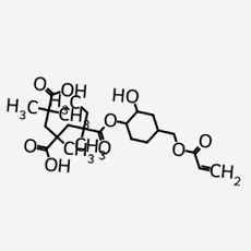 C=CC(=O)OCC1CCC(OC(=O)C(C)(CC)CC(C)(CC(C)(C)C(=O)O)C(=O)O)C(O)C1